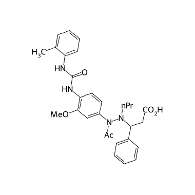 CCCN(C(CC(=O)O)c1ccccc1)N(C(C)=O)c1ccc(NC(=O)Nc2ccccc2C)c(OC)c1